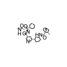 CNC(=O)C[S@@](=O)(=NC(=O)c1cncc(-c2cccc(NC(=O)c3occc3C)c2)c1)c1ccccc1